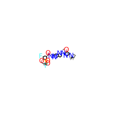 C[C@@H]1CCCN1c1cnc2c(c1)OCCN2c1ccc2cnc(CNC(=O)c3cc(F)c4c(c3)S(=O)(=O)[C@@H](F)CCO4)cc2n1